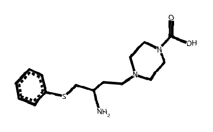 NC(CCN1CCN(C(=O)O)CC1)CSc1ccccc1